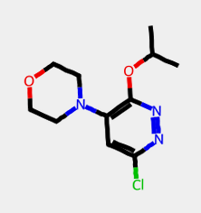 CC(C)Oc1nnc(Cl)cc1N1CCOCC1